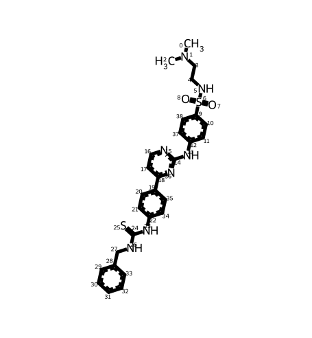 CN(C)CCNS(=O)(=O)c1ccc(Nc2nccc(-c3ccc(NC(=S)NCc4ccccc4)cc3)n2)cc1